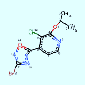 CC(C)Oc1nccc(-c2nc(Br)no2)c1Cl